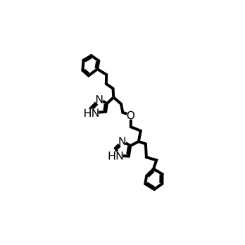 c1ccc(CCCC(CCOCCC(CCCc2ccccc2)c2c[nH]cn2)c2c[nH]cn2)cc1